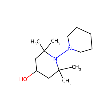 CC1(C)CC(O)CC(C)(C)N1N1CCCCC1